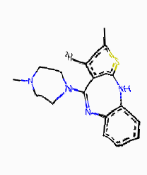 [2H]c1c(C)sc2c1C(N1CCN(C)CC1)=Nc1ccccc1N2